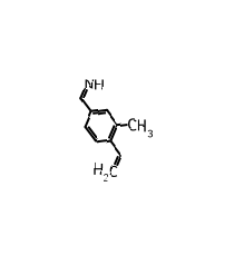 C=Cc1ccc(C=N)cc1C